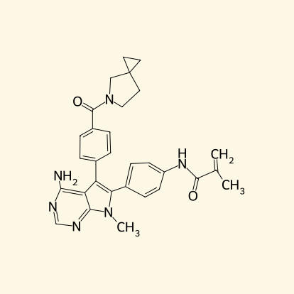 C=C(C)C(=O)Nc1ccc(-c2c(-c3ccc(C(=O)N4CCC5(CC5)C4)cc3)c3c(N)ncnc3n2C)cc1